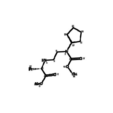 COC(=O)[C@@H](NCCN(C(=O)OC(C)(C)C)C1CCCC1)C(C)C